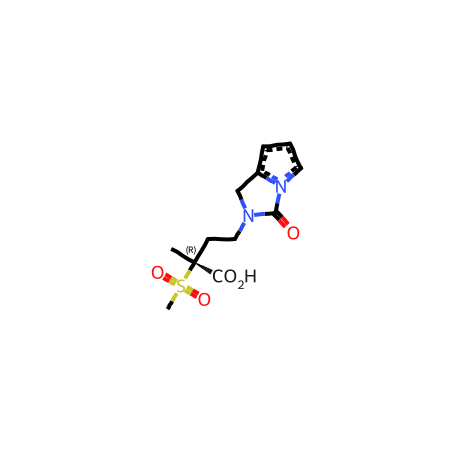 C[C@@](CCN1Cc2cccn2C1=O)(C(=O)O)S(C)(=O)=O